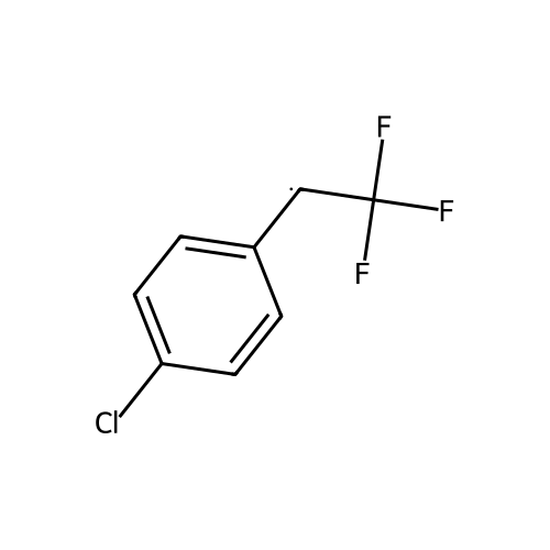 FC(F)(F)[CH]c1ccc(Cl)cc1